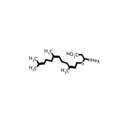 CCCCCCC(CC(=O)O)SCC=C(C)CCC=C(C)CCC=C(C)C